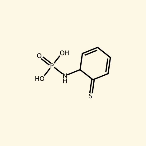 O=P(O)(O)NC1C=CC=CC1=S